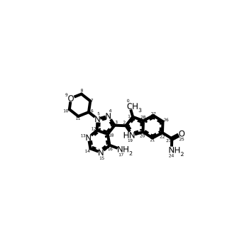 Cc1c(-c2nn(C3CCOCC3)c3ncnc(N)c23)[nH]c2cc(C(N)=O)ccc12